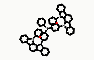 c1ccc(N(c2ccc(C3c4ccccc4-c4ccc5c6ccccc6n(-c6ccccc6)c5c43)cc2)c2ccc(-n3c4ccccc4c4ccc5c6ccccc6n(-c6ccccc6)c5c43)cc2)cc1